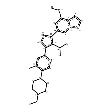 CCN1CCC(c2cnc(-c3n[nH]c(-c4cc(OC)c5ncnn5c4)c3C(C)C)cc2C)CC1